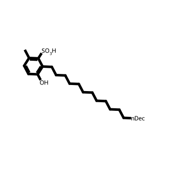 CCCCCCCCCCCCCCCCCCCCCCc1c(O)ccc(C)c1S(=O)(=O)O